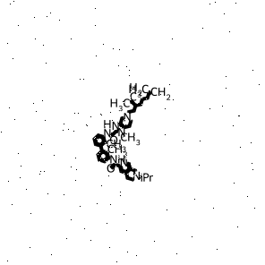 C=C(C)CCCC(CCN1CCc2c(nc(C(=O)Nc3cccc(-c4cccc(NC(=O)c5cc6c(cn5)CN(C(C)C)CC6)c4C)c3C)n2C)C1)C(=C)C